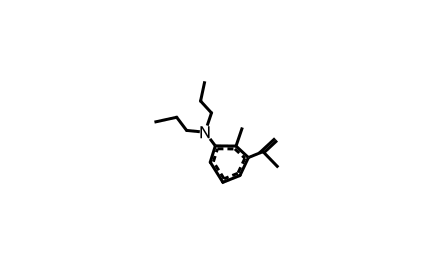 C=C(C)c1cccc(N(CCC)CCC)c1C